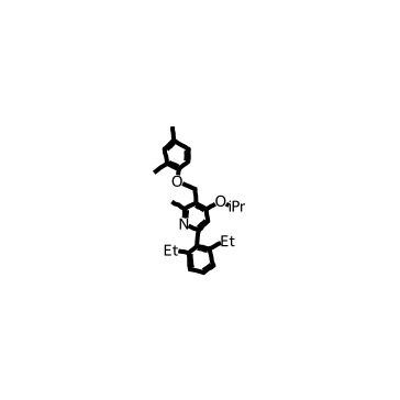 CCc1cccc(CC)c1-c1cc(OC(C)C)c(COc2ccc(C)cc2C)c(C)n1